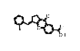 Cc1ccccc1C=C1CCc2c1oc1ccc(C(=O)O)cc1c2=O